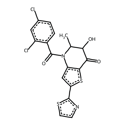 CC1C(O)C(=O)c2sc(-c3nccs3)cc2N1C(=O)c1ccc(Cl)cc1Cl